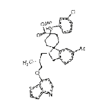 COC(=O)C1(Nc2cccc(Cl)c2)CCC2(CC1)c1cc(C(C)=O)ccc1CC2C[C@@H](C)COc1ccnc2ccsc12